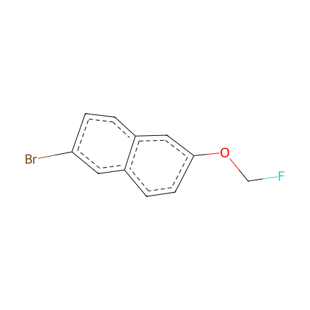 FCOc1ccc2cc(Br)ccc2c1